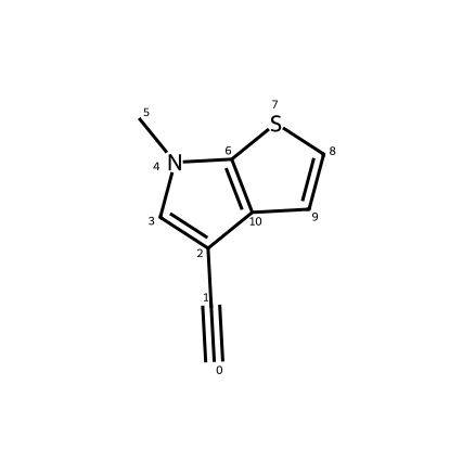 C#Cc1cn(C)c2sccc12